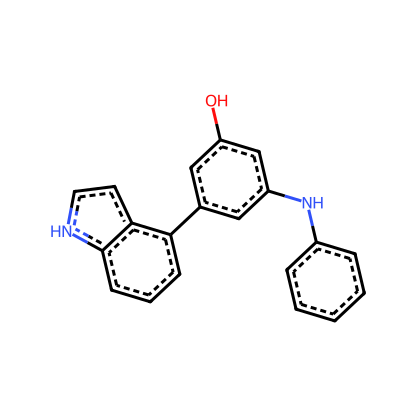 Oc1cc(Nc2ccccc2)cc(-c2cccc3[nH]ccc23)c1